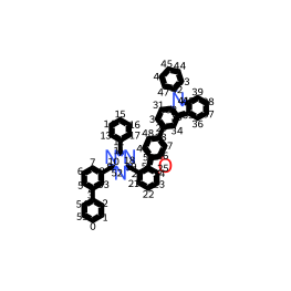 c1ccc(-c2cccc(-c3nc(-c4ccccc4)nc(-c4cccc5oc6cc(-c7ccc8c(c7)c7ccccc7n8-c7ccccc7)ccc6c45)n3)c2)cc1